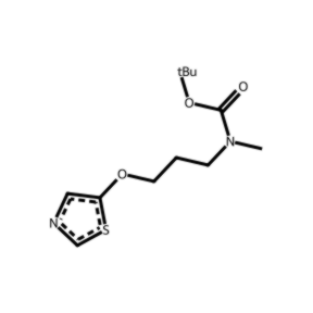 CN(CCCOc1cncs1)C(=O)OC(C)(C)C